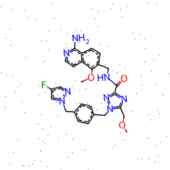 COCc1nc(C(=O)NCc2ccc3c(N)nccc3c2OC)nn1Cc1ccc(Cn2cc(F)cn2)cc1